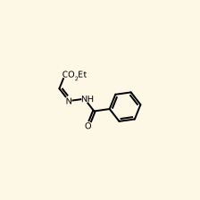 CCOC(=O)/C=N\NC(=O)c1ccccc1